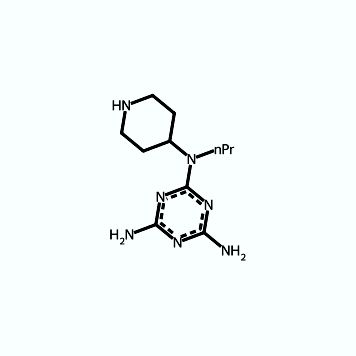 CCCN(c1nc(N)nc(N)n1)C1CCNCC1